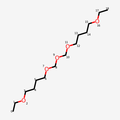 CCOCCCCOCOCOCCCCOCC